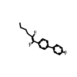 CCCCC(F)=C(F)c1ccc(-c2ccc(F)cc2)cc1